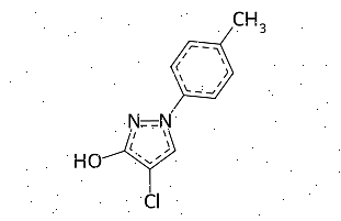 Cc1ccc(-n2cc(Cl)c(O)n2)cc1